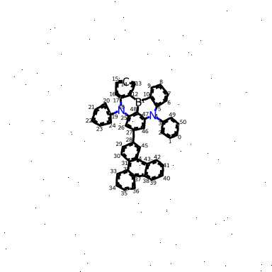 c1ccc(N2c3ccccc3B3c4ccccc4N(c4ccccc4)c4cc(-c5ccc6c7ccccc7c7ccccc7c6c5)cc2c43)cc1